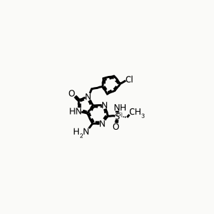 CC[S@](=N)(=O)c1nc(N)c2[nH]c(=O)n(Cc3ccc(Cl)cc3)c2n1